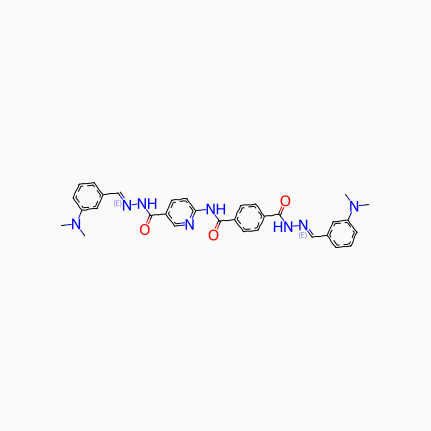 CN(C)c1cccc(/C=N/NC(=O)c2ccc(C(=O)Nc3ccc(C(=O)N/N=C/c4cccc(N(C)C)c4)cn3)cc2)c1